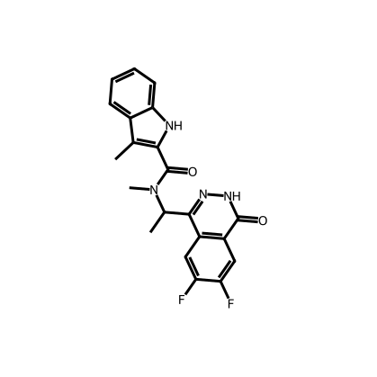 Cc1c(C(=O)N(C)C(C)c2n[nH]c(=O)c3cc(F)c(F)cc23)[nH]c2ccccc12